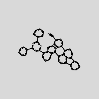 N#Cc1ccc(-c2ccc3c4c(ccc(-c5cccc6c(-c7nc(-c8ccccc8)nc(-c8ccccc8)n7)cccc56)c24)-c2ccccc2-3)cc1